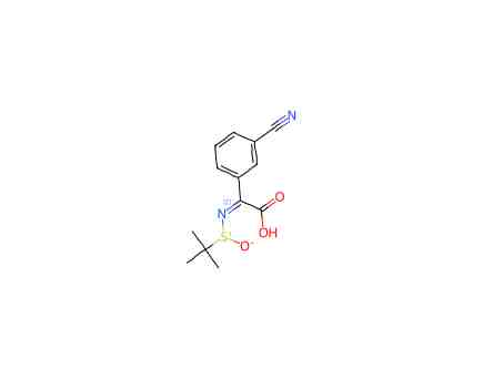 CC(C)(C)[S+]([O-])/N=C(\C(=O)O)c1cccc(C#N)c1